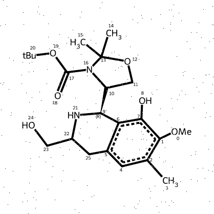 COc1c(C)cc2c(c1O)[C@H](C1COC(C)(C)N1C(=O)OC(C)(C)C)NC(CO)C2